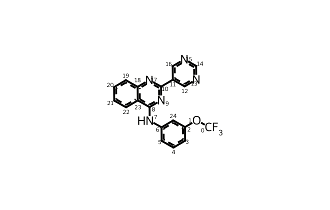 FC(F)(F)Oc1cccc(Nc2nc(-c3cncnc3)nc3ccccc23)c1